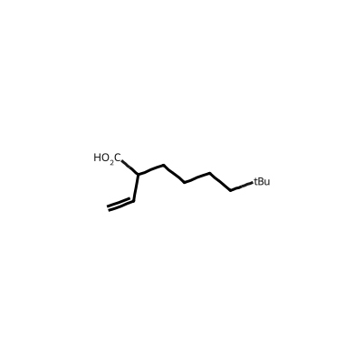 C=CC(CCCCC(C)(C)C)C(=O)O